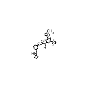 Cc1ccc(-c2nc(NC(=O)COc3cccc(CNC4CCC4)c3)cc(-c3nccs3)n2)o1